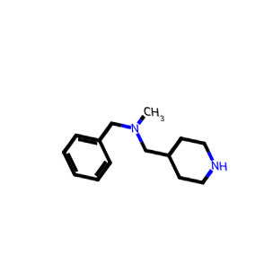 CN(Cc1ccccc1)CC1CCNCC1